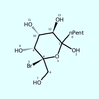 CCCCCC1(O)O[C@](Br)(CO)[C@H](O)[C@H](O)[C@H]1O